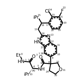 CCNC(=O)[C@H](NC(=O)C1(c2ccc3nc(CC(c4cccc(F)c4Cl)C(C)C)[nH]c3c2)CCOC1)C(C)C